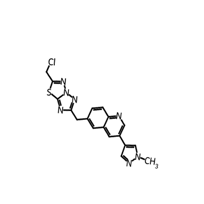 Cn1cc(-c2cnc3ccc(Cc4nc5sc(CCl)nn5n4)cc3c2)cn1